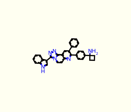 NC1(c2ccc(-c3nc4ccn5c(-c6c[nH]c7ccccc67)nnc5c4cc3-c3ccccc3)cc2)CCC1